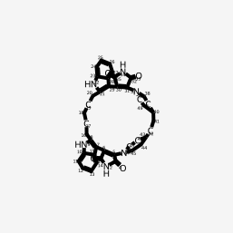 O=C1NC(=O)C2=C1c1c([nH]c3ccccc13)CCCCCc1[nH]c3ccccc3c1C1=C(C(=O)NC1=O)N1CCC(CCC3CCN2CC3)CC1